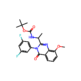 COc1cccc2c(=O)n(-c3cc(F)cc(F)c3)c(C(C)NC(=O)OC(C)(C)C)nc12